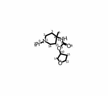 CC(C)N1CCC(C)(NC(=O)OC2CCOC2)CC1